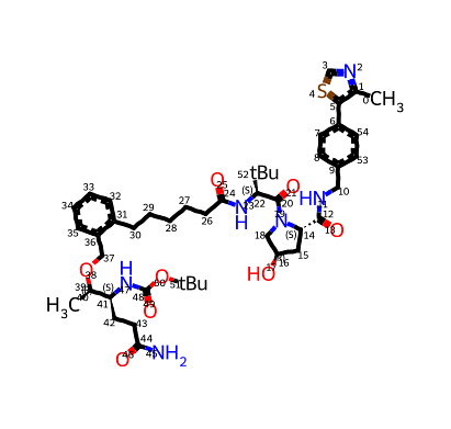 Cc1ncsc1-c1ccc(CNC(=O)[C@@H]2C[C@@H](O)CN2C(=O)[C@@H](NC(=O)CCCCCc2ccccc2CO[C@H](C)[C@H](CCC(N)=O)NC(=O)OC(C)(C)C)C(C)(C)C)cc1